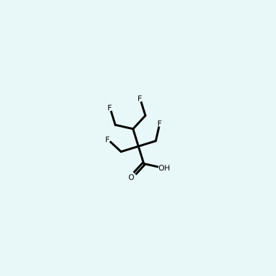 O=C(O)C(CF)(CF)C(CF)CF